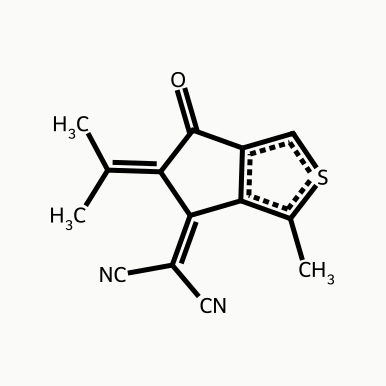 CC(C)=C1C(=O)c2csc(C)c2C1=C(C#N)C#N